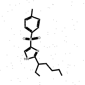 CCCCC(CC)c1nc(S(=O)(=O)c2ccc(C)cc2)c[nH]1